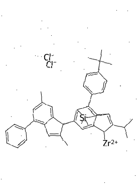 CC1=Cc2c(-c3ccccc3)cc(C)cc2C1c1cc2c3c(-c4ccc(C(C)(C)C)cc4)c1[Si](C)(C)C3=C(C(C)C)[CH]2[Zr+2].[Cl-].[Cl-]